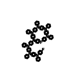 Fc1ccc(N(c2ccccc2)c2ccc(N(c3ccccc3)c3ccc(N(c4ccccc4)c4ccc(N(c5ccccc5)c5ccc(N(c6ccccc6)c6ccc(N(c7ccccc7)c7ccc(N(c8ccccc8)c8ccc(N(c9ccccc9)c9ccc(F)cc9)cc8)cc7)cc6)cc5)cc4)cc3)cc2)cc1